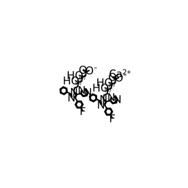 O=C([O-])C[C@H](O)C[C@H](O)CCn1c(-c2ccccc2)nc(-c2ccc(F)cc2)c1-c1ccncn1.O=C([O-])C[C@H](O)C[C@H](O)CCn1c(-c2ccccc2)nc(-c2ccc(F)cc2)c1-c1ccncn1.[Ca+2]